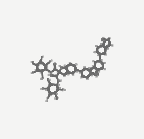 O=C(Oc1c(F)c(F)c(F)c(F)c1F)C1(C(=O)Oc2c(F)c(F)c(F)c(F)c2F)C=c2cc(-c3ccc4[nH]c5ccc(-c6ccc7[nH]ccc7c6)cc5c4c3)ccc2=N1